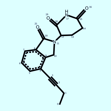 CCC#Cc1cccc2c1CN(C1CCC(=O)NC1=O)C2=O